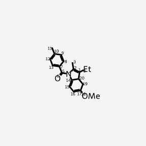 CCC1=C(C)N(C(=O)c2ccc(C)cc2)C2=CC=C(OC)CC21